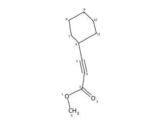 COC(=O)C#CC1CC[CH]CC1